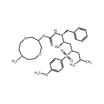 COc1ccc(S(=O)(=O)N(CC(C)C)C[C@@H](O)[C@H](Cc2ccccc2)NC(=O)OC2COCCN(C)CCOC2)cc1